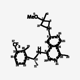 COC1(C)CN(c2cc3c(N[C@H](C)c4cccc(C(F)(F)F)c4C)nnc(C)c3cn2)C1